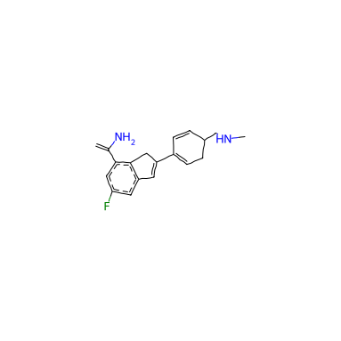 C=C(N)c1cc(F)cc2c1CC(C1=CCC(CNC)C=C1)=C2